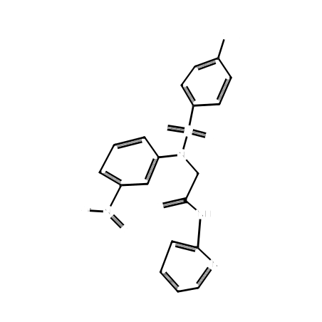 Cc1ccc(S(=O)(=O)N(CC(=O)Nc2ccccn2)c2cccc([N+](=O)[O-])c2)cc1